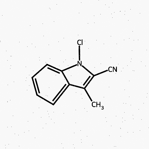 Cc1c(C#N)n(Cl)c2ccccc12